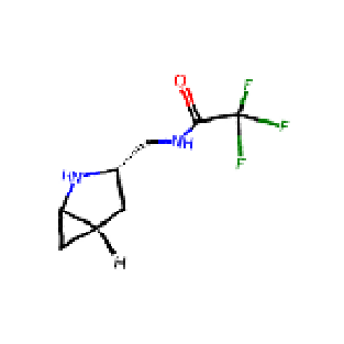 O=C(NC[C@@H]1C[C@@H]2CC2N1)C(F)(F)F